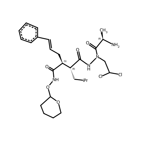 CC(C)C[C@@H](C(=O)NN(CC(Cl)Cl)C(=O)[C@@H](C)N)[C@H](CC=Cc1ccccc1)C(=O)NOC1CCCCO1